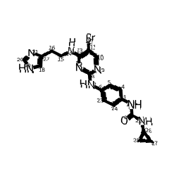 O=C(Nc1ccc(Nc2ncc(Br)c(NCCc3c[nH]cn3)n2)cc1)NC1CC1